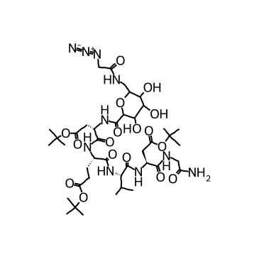 CC(C)[C@H](NC(=O)[C@H](CCC(=O)OC(C)(C)C)NC(=O)[C@H](CC(=O)OC(C)(C)C)NC(=O)C1OC(CNC(=O)CN=[N+]=[N-])C(O)C(O)C1O)C(=O)N[C@@H](CC(=O)OC(C)(C)C)C(=O)NCC(N)=O